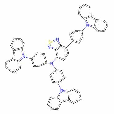 c1ccc2c(c1)c1ccccc1n2-c1ccc(-c2ccc(N(c3ccc(-n4c5ccccc5c5ccccc54)cc3)c3ccc(-n4c5ccccc5c5ccccc54)cc3)c3nsnc23)cc1